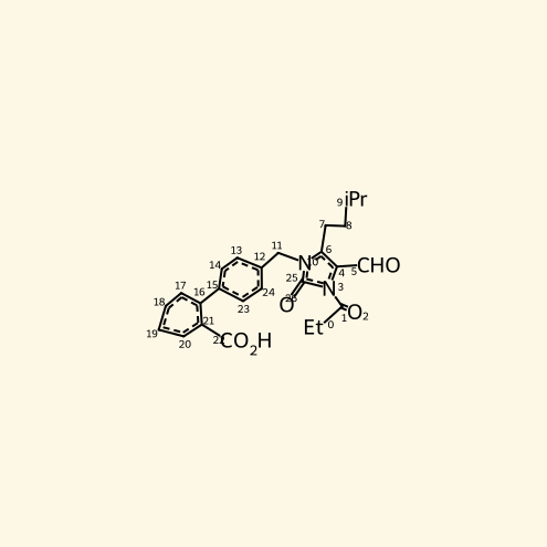 CCC(=O)n1c(C=O)c(CCC(C)C)n(Cc2ccc(-c3ccccc3C(=O)O)cc2)c1=O